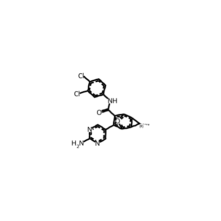 C[C@H]1c2c1c1oc2c(C(=O)Nc2ccc(Cl)c(Cl)c2)c1-c1cnc(N)nc1